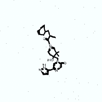 CC(CC1CCCCC1)C(=O)N1CCC(O)(Cn2cc(-c3ccn[nH]3)ncc2=O)C(C)(C)C1